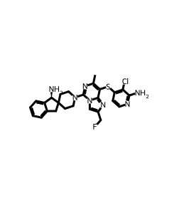 Cc1nc(N2CCC3(CC2)Cc2ccccc2[C@H]3N)n2cc(CF)nc2c1Sc1ccnc(N)c1Cl